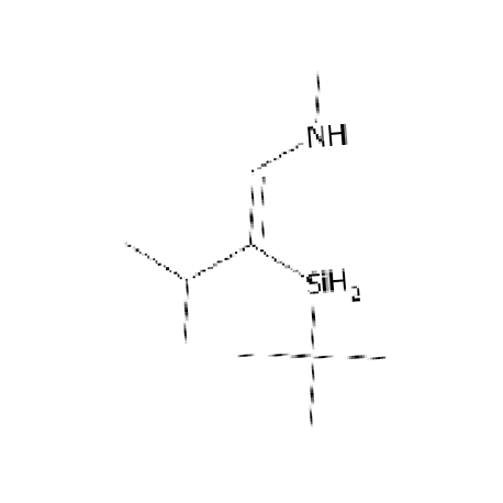 CNC=C([SiH2]C(C)(C)C)C(C)C